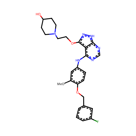 COc1cc(Nc2ncnc3[nH]nc(OCCN4CCC(O)CC4)c23)ccc1OCc1cccc(F)c1